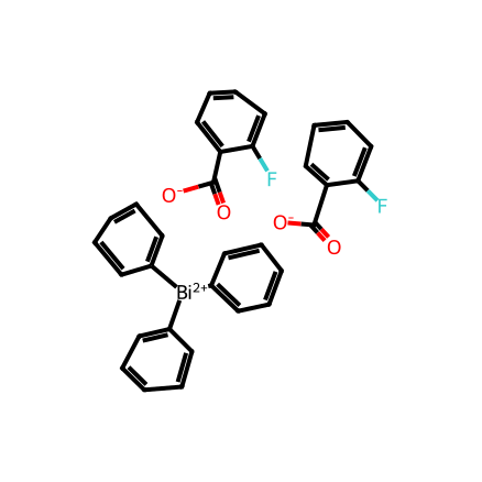 O=C([O-])c1ccccc1F.O=C([O-])c1ccccc1F.c1cc[c]([Bi+2]([c]2ccccc2)[c]2ccccc2)cc1